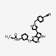 C=CC(=O)Nc1cccc(Oc2cnc3[nH]cc(-c4cnn(Cc5ccc(C#N)cc5)c4)c3n2)c1